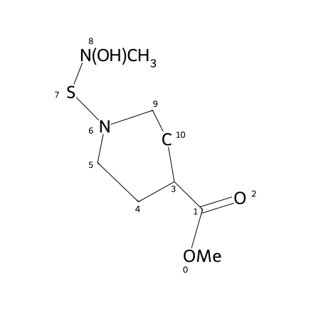 COC(=O)C1CCN(SN(C)O)CC1